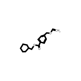 C=COCc1ccc(C(=O)OCC2CCCCC2)cc1